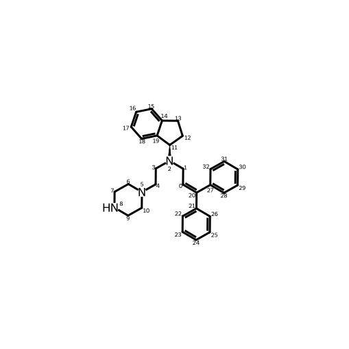 C(CN(CCN1CCNCC1)[C@@H]1CCc2ccccc21)=C(c1ccccc1)c1ccccc1